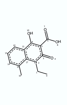 CCn1c(=O)c(C(=O)O)c(O)c2cccc(C)c21